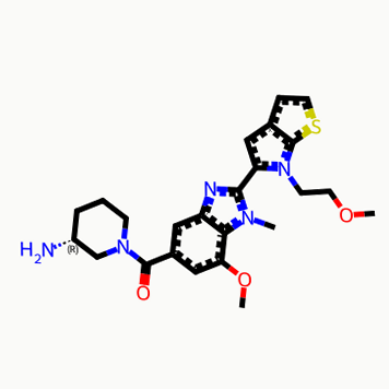 COCCn1c(-c2nc3cc(C(=O)N4CCC[C@@H](N)C4)cc(OC)c3n2C)cc2ccsc21